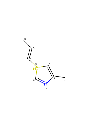 CC=C[SH]1C=NC(C)=C1